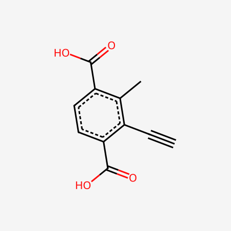 C#Cc1c(C(=O)O)ccc(C(=O)O)c1C